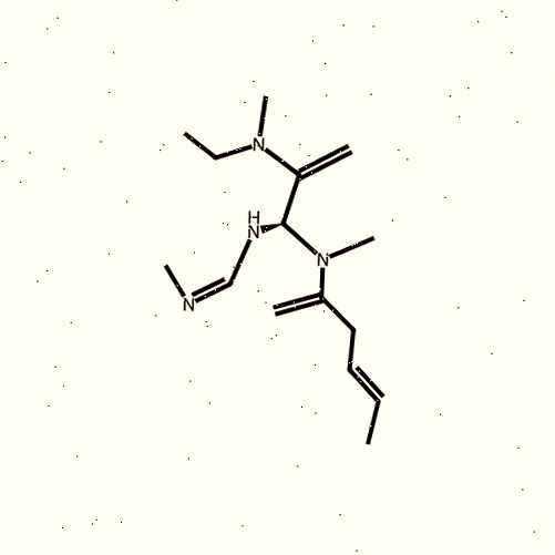 C=C([C@H](N/C=N\C)N(C)C(=C)C/C=C/C)N(C)CC